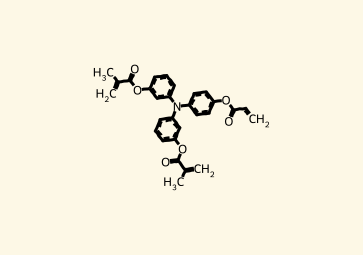 C=CC(=O)Oc1ccc(N(c2cccc(OC(=O)C(=C)C)c2)c2cccc(OC(=O)C(=C)C)c2)cc1